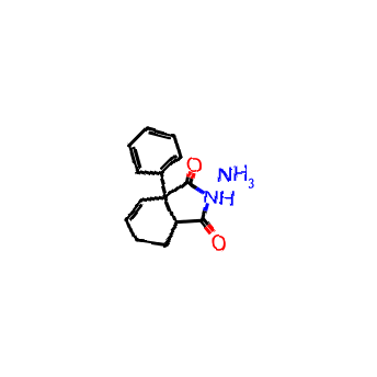 N.O=C1NC(=O)C2(c3ccccc3)C=CCCC12